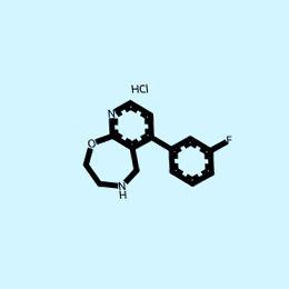 Cl.Fc1cccc(-c2ccnc3c2CNCCO3)c1